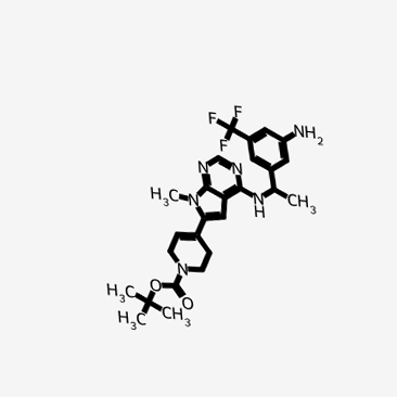 CC(Nc1ncnc2c1cc(C1=CCN(C(=O)OC(C)(C)C)CC1)n2C)c1cc(N)cc(C(F)(F)F)c1